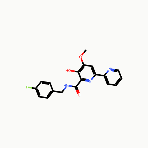 COc1cc(-c2ccccn2)nc(C(=O)NCc2ccc(F)cc2)c1O